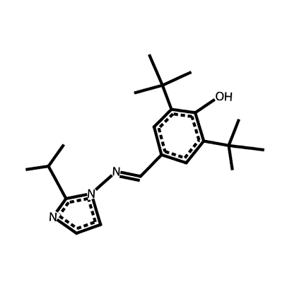 CC(C)c1nccn1N=Cc1cc(C(C)(C)C)c(O)c(C(C)(C)C)c1